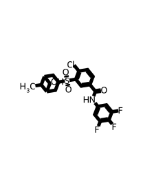 CC1C2CC(S(=O)(=O)c3cc(C(=O)Nc4cc(F)c(F)c(F)c4)ccc3Cl)CC1C2O